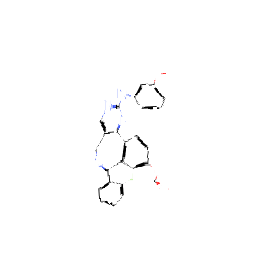 COc1cccc(Nc2ncc3c(n2)-c2ccc(OC=O)cc2C(c2ccccc2F)=NC3)c1